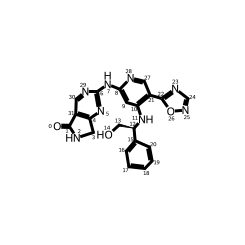 O=C1NCc2nc(Nc3cc(N[C@H](CO)c4ccccc4)c(-c4ncno4)cn3)ncc21